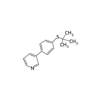 CC(C)(C)Sc1ccc(-c2cccnc2)cc1